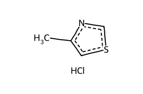 Cc1cscn1.Cl